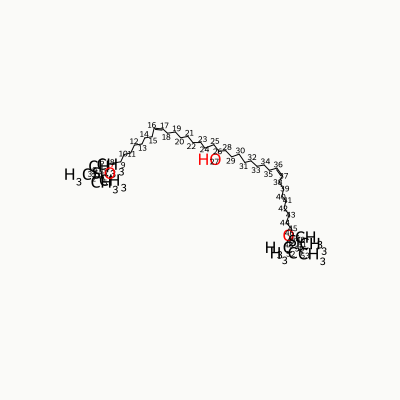 CC(C)(C)[Si](C)(C)OCCCCCCCC/C=C\CCCCCCCCC(O)CCCCCCCC/C=C\CCCCCCCCO[Si](C)(C)C(C)(C)C